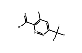 Cc1cc(C(F)(F)F)nnc1C(=O)O